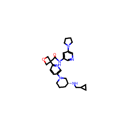 O=C(Nc1cncc(N2CCCC2)c1)C1(c2ccc(N3CCC[C@@H](NCC4CC4)C3)cn2)COC1